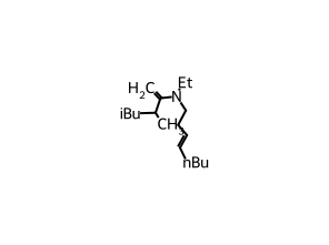 C=C(C(C)C(C)CC)N(CC)CC/C=C/CCCC